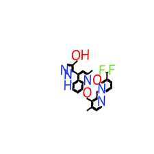 Cc1cc(-c2[nH]ncc2CO)c2cccc(OCc3c(C)ccnc3Cn3cccc(C(F)F)c3=O)c2n1